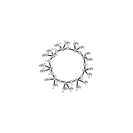 CCC[Si]1(CCC)O[Si](CCC)(CCC)O[Si](CCC)(CCC)O[Si](CCC)(CCC)O[Si](CCC)(CCC)O[Si](CCC)(CCC)O[Si](CCC)(CCC)O[Si](CCC)(CCC)O[Si](CCC)(CCC)O1